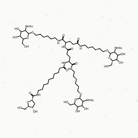 CC(=O)NC1C(OCCCCCCNC(=O)C(CCC(=O)NCCCCCCOC2O[C@H](CO)C(O)C(O)C2NC(C)=O)NC(=O)CCC(NC(=O)CCCCCCCCCNC(=O)[C@H]2C[C@H](O)[C@@H](CO)O2)C(=O)NCCCCCCOC2OC(CO)C(O)C(O)C2NC(C)=O)OC(CO)C(O)C1O